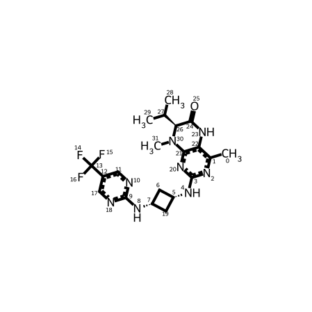 Cc1nc(N[C@H]2C[C@@H](Nc3ncc(C(F)(F)F)cn3)C2)nc2c1NC(=O)[C@H](C(C)C)N2C